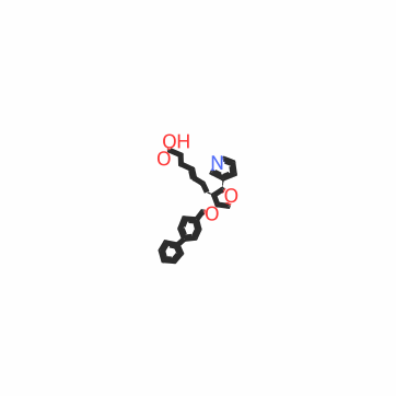 O=C(O)CCC=CCC[C@H]1[C@H](OCc2ccc(-c3ccccc3)cc2)CO[C@H]1c1cccnc1